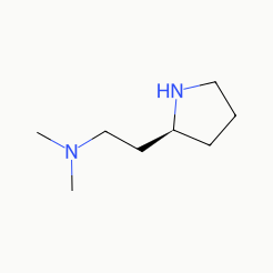 CN(C)CC[C@@H]1CCCN1